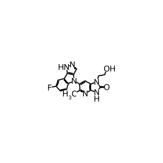 Cc1nc2[nH]c(=O)n(CCO)c2cc1-n1c2ccc(F)cc2c2[nH]ncc21